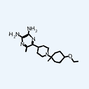 CCOC1CCC(C)(N2CCC(c3nc(N)c(N)nc3C)CC2)CC1